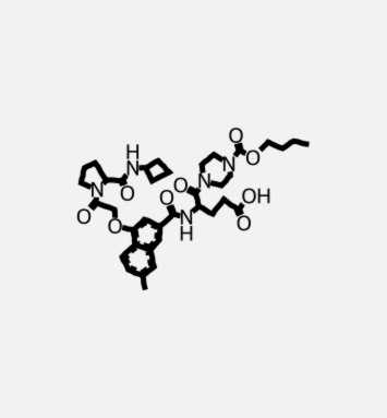 CCCCOC(=O)N1CCN(C(=O)C(CCC(=O)O)NC(=O)c2cc(OCC(=O)N3CCCC3C(=O)NC3CCC3)c3ccc(C)cc3c2)CC1